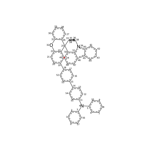 c1ccc(N(c2ccccc2)c2ccc(-c3ccc(-c4ccc5c(c4)C4(c6ccccc6O5)c5ccccc5-n5c6ccccc6c6cccc4c65)cc3)cc2)cc1